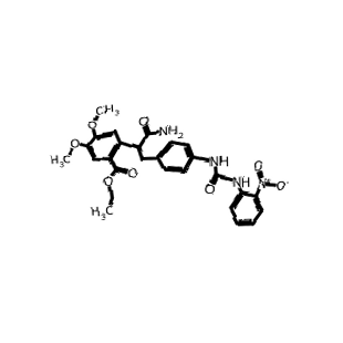 CCOC(=O)c1cc(OC)c(OC)cc1C(Cc1ccc(NC(=O)Nc2ccccc2[N+](=O)[O-])cc1)C(N)=O